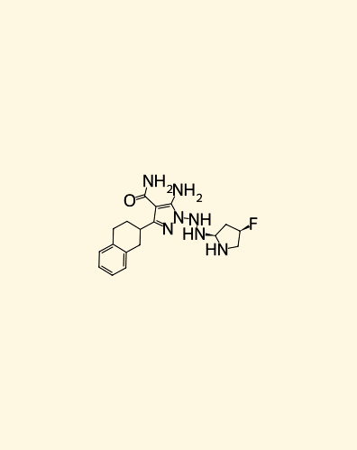 NC(=O)c1c(C2CCc3ccccc3C2)nn(NN[C@H]2C[C@@H](F)CN2)c1N